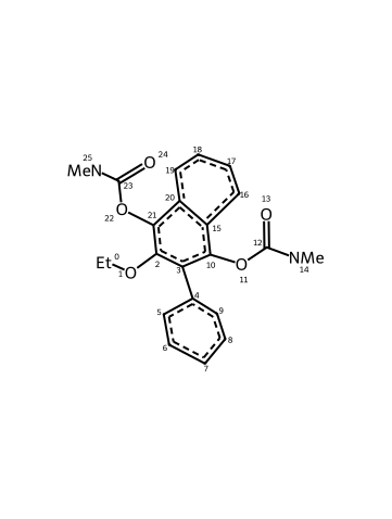 CCOc1c(-c2ccccc2)c(OC(=O)NC)c2ccccc2c1OC(=O)NC